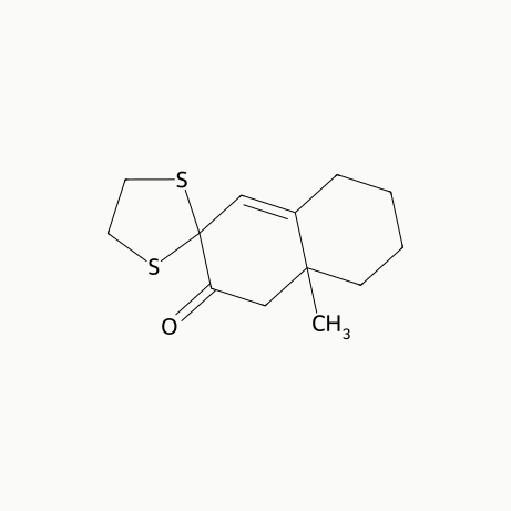 CC12CCCCC1=CC1(SCCS1)C(=O)C2